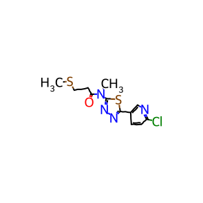 CSCCC(=O)N(C)c1nnc(-c2ccc(Cl)nc2)s1